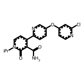 CC(C)n1ccc(-c2ccc(Oc3ccnc(Cl)c3)cn2)c(C(N)=O)c1=O